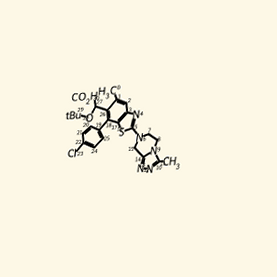 Cc1cc2nc(N3CCn4c(C)nnc4C3)sc2c(-c2ccc(Cl)cc2)c1C(OC(C)(C)C)C(=O)O